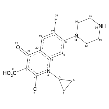 O=C(O)c1c(Cl)n(C2CC2)c2cc(N3CCNCC3)c(F)cc2c1=O